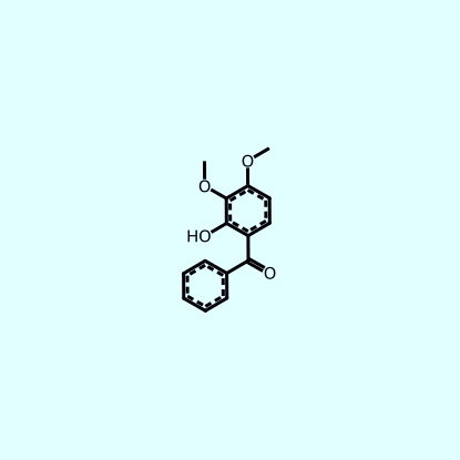 COc1ccc(C(=O)c2ccccc2)c(O)c1OC